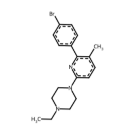 CCN1CCN(c2ccc(C)c(-c3ccc(Br)cc3)n2)CC1